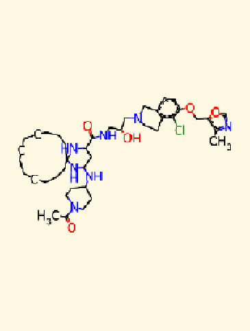 CC(=O)N1CCC(NC2CC(C(=O)NC[C@H](O)CN3CCc4c(ccc(OCc5ocnc5C)c4Cl)C3)NC3(CCCCCCCCCCCC3)N2)CC1